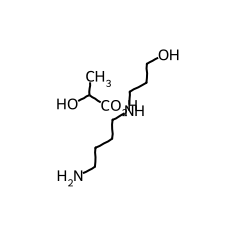 CC(O)C(=O)O.NCCCCNCCCO